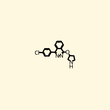 Clc1ccc(-c2nnc(OC3CCNC3)c3ccccc23)cc1